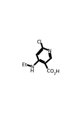 CCNc1cc(Cl)ncc1C(=O)O